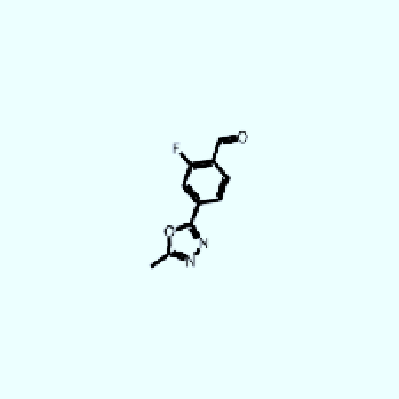 Cc1nnc(-c2ccc(C=O)c(F)c2)o1